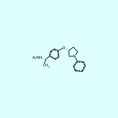 CC(=O)N[C@@H](C)c1ccc(O[C@@H]2CCN(c3ccccc3)C2)cc1